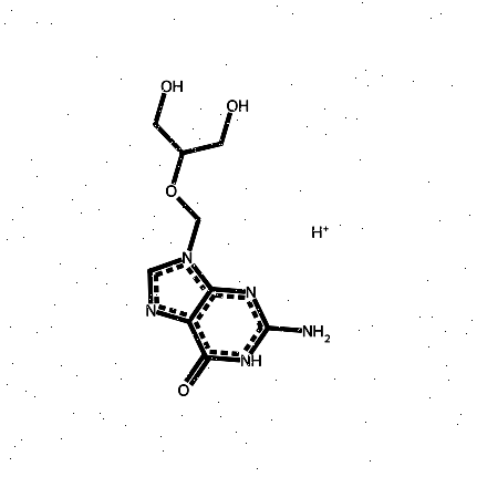 Nc1nc2c(ncn2COC(CO)CO)c(=O)[nH]1.[H+]